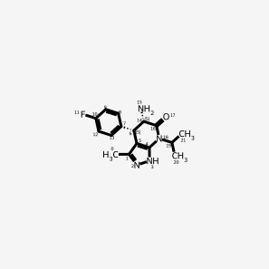 Cc1n[nH]c2c1[C@H](c1ccc(F)cc1)[C@H](N)C(=O)N2C(C)C